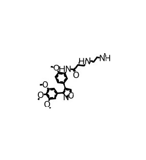 CNCCNCCC(=O)Nc1cc(-c2conc2-c2cc(OC)c(OC)c(OC)c2)ccc1OC